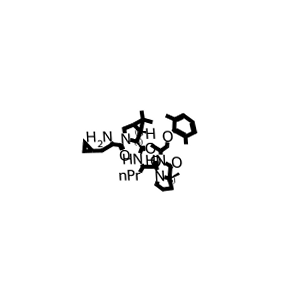 CCCC(NC(=O)[C@@H]1[C@@H]2C(CN1C(=O)C(N)CC1CC1)C2(C)C)C(=O)N1CCC[C@@]1(C)C(=O)NC(C)COc1c(C)cccc1C